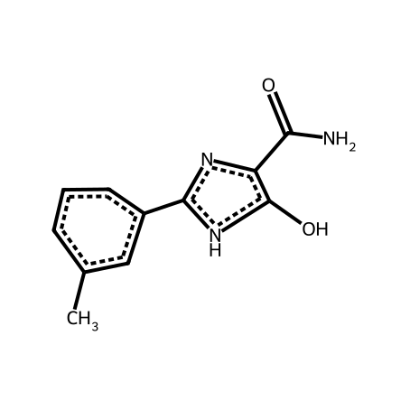 Cc1cccc(-c2nc(C(N)=O)c(O)[nH]2)c1